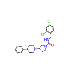 O=C(NCc1ccc(Cl)cc1Cl)N1CCC(N2CCC(c3ccccc3)CC2)C1